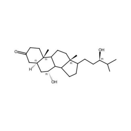 CC(C)[C@H](O)CCC1CCC2C3C(CC[C@]12C)[C@@]1(C)CCC(=O)C[C@@H]1C[C@H]3O